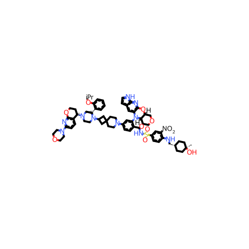 CC(C)Oc1ccccc1[C@H]1CN([C@@H]2CCOc3nc(N4CCOCC4)ccc32)CCN1C1CC2(CCN(c3ccc(C(=O)NS(=O)(=O)c4ccc(NC[C@H]5CC[C@](C)(O)CC5)c([N+](=O)[O-])c4)c(N4c5cc6cc[nH]c6nc5O[C@H]5COCC[C@@H]54)c3)CC2)C1